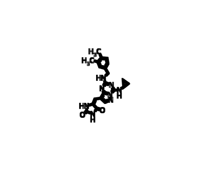 Cc1ccc(CNc2nc(NC3CC3)n3ncc(/C=C4/NC(=O)NC4=O)c3n2)cc1C